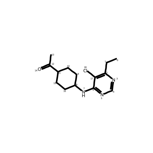 CCc1ncnc(NC2CCC(C(C)=O)CC2)c1Cl